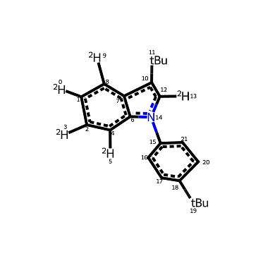 [2H]c1c([2H])c([2H])c2c(c1[2H])c(C(C)(C)C)c([2H])n2-c1ccc(C(C)(C)C)cc1